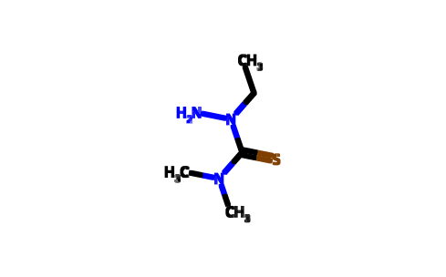 CCN(N)C(=S)N(C)C